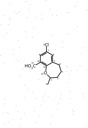 CC1CCCc2cc(Cl)cc(C(=O)O)c2O1